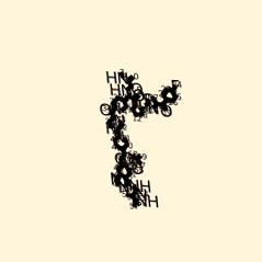 C=C(NC)C(=O)N[C@H](C(=O)N1CCC[C@H]1c1nc(C(=O)c2ccc(F)cc2)cs1)C1CCN(C(=O)c2cnc(N3CCC(COc4cc5ncnc(Nc6n[nH]c(C)c6C)c5cc4S(=O)(=O)C(C)(C)C)CC3)cn2)CC1